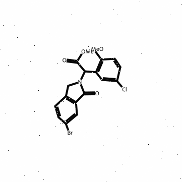 COC(=O)C(c1cc(Cl)ccc1OC)N1Cc2ccc(Br)cc2C1=O